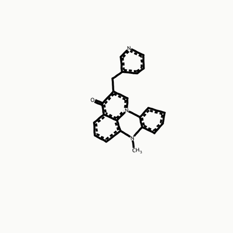 CN1c2ccccc2-n2cc(Cc3cccnc3)c(=O)c3cccc1c32